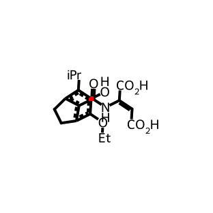 CCOc1c(O)c(C(C)C)c2c(C(=O)N/C(=C\C(=O)O)C(=O)O)c1CC2